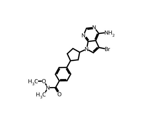 CON(C)C(=O)c1ccc(C2CCC(n3cc(Br)c4c(N)ncnc43)C2)cc1